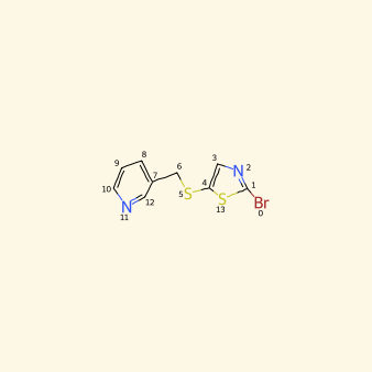 Brc1ncc(SCc2cccnc2)s1